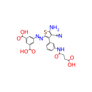 N#Cc1c(N)sc(N=Nc2cc(C(=O)O)cc(C(=O)O)c2)c1-c1cccc(NC(=O)CCC(=O)O)c1